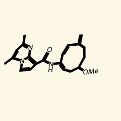 C=C1/C=C\C(NC(=O)c2ccn3c(C)cc(C)nc23)=C/CC(OC)CC1